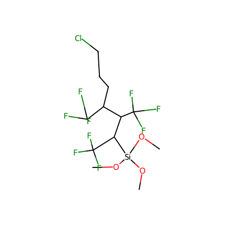 CO[Si](OC)(OC)C(C(C(CCCCl)C(F)(F)F)C(F)(F)F)C(F)(F)F